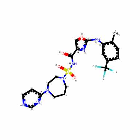 Cc1ccc(C(F)(F)F)cc1Nc1nc(C(=O)NS(=O)(=O)N2CCCN(c3ccncn3)CC2)co1